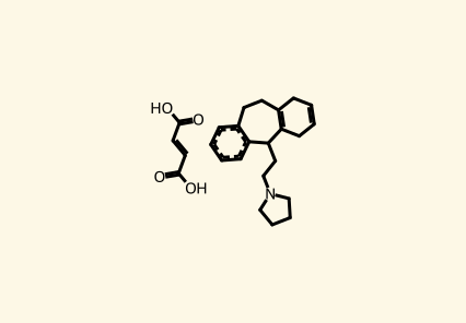 C1=CCC2=C(C1)CCc1ccccc1C2CCN1CCCC1.O=C(O)C=CC(=O)O